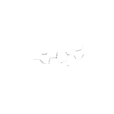 CCc1ccc(C(=O)NN(C(=O)c2cccc(C)c2)C(C)(C)C)cc1